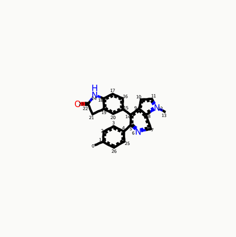 Cc1ccc(-c2ncc3c(ccn3C)c2-c2ccc3c(c2)CC(=O)N3)cc1